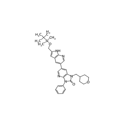 CC(C)(C)[Si](C)(C)OCc1cc2cc(-c3cnc4c(c3)n(CC3CCOCC3)c(=O)n4-c3ccccc3)cnc2[nH]1